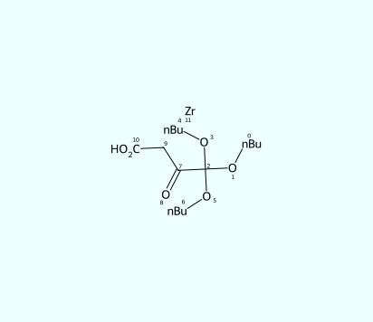 CCCCOC(OCCCC)(OCCCC)C(=O)CC(=O)O.[Zr]